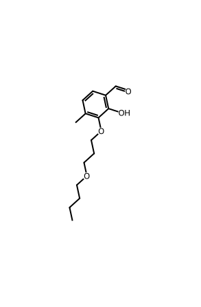 CCCCOCCCOc1c(C)ccc(C=O)c1O